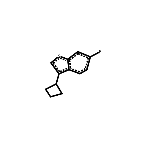 Fc1ccc2c(C3CCC3)[c]sc2c1